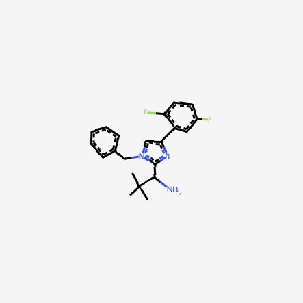 CC(C)(C)C(N)c1nc(-c2cc(F)ccc2F)cn1Cc1ccccc1